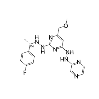 COCc1cc(NNc2cnccn2)nc(NN[C@@H](C)c2ccc(F)cc2)n1